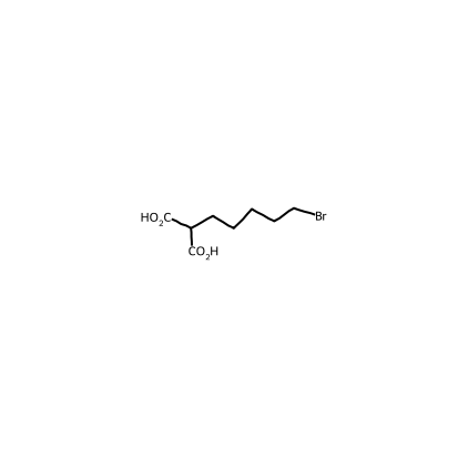 O=C(O)C(CCCCCBr)C(=O)O